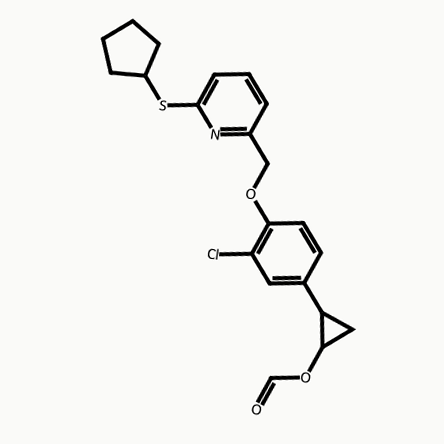 O=COC1CC1c1ccc(OCc2cccc(SC3CCCC3)n2)c(Cl)c1